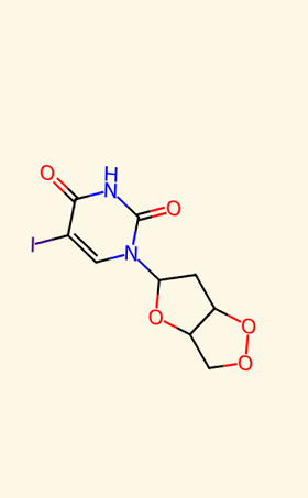 O=c1[nH]c(=O)n(C2CC3OOCC3O2)cc1I